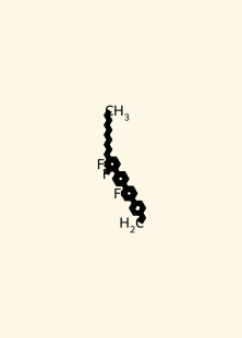 C=CC1CC=C(c2ccc(-c3ccc(-c4ccc(CCCCCCCCCC)c(F)c4F)cc3)c(F)c2)CC1